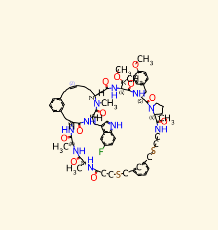 COc1ccc(C[C@@H]2NC(=O)[C@H]([C@@H](C)OC)NC(=O)[C@@H]3CC/C=C\Cc4cccc(c4)C[C@H](NC(=O)[C@@H](C)NC(=O)[C@H](C)NC(=O)CCSCc4cccc(c4)CSCCNC(=O)[C@]4(C)CCCN4C2=O)C(=O)N[C@@H](Cc2c[nH]c4ccc(F)cc24)C(=O)N3C)cc1